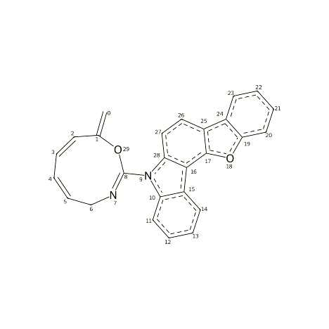 C=C1/C=C\C=C/C/N=C(/n2c3ccccc3c3c4oc5ccccc5c4ccc32)O1